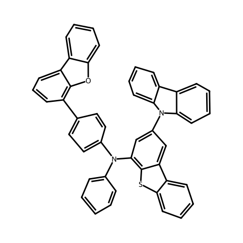 c1ccc(N(c2ccc(-c3cccc4c3oc3ccccc34)cc2)c2cc(-n3c4ccccc4c4ccccc43)cc3c2sc2ccccc23)cc1